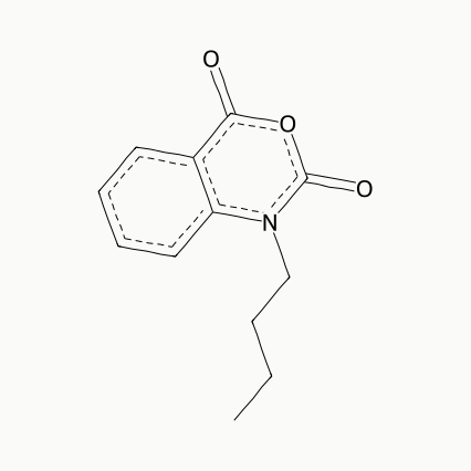 CCCCn1c(=O)oc(=O)c2ccccc21